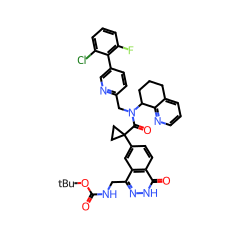 CC(C)(C)OC(=O)NCc1n[nH]c(=O)c2ccc(C3(C(=O)N(Cc4ccc(-c5c(F)cccc5Cl)cn4)C4CCCc5cccnc54)CC3)cc12